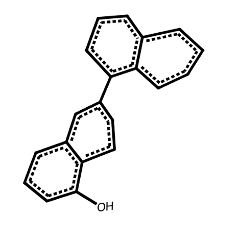 Oc1cccc2cc(-c3cccc4ccccc34)ccc12